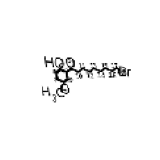 COc1ccc(O)c(C(=O)CCCCCCCCBr)c1